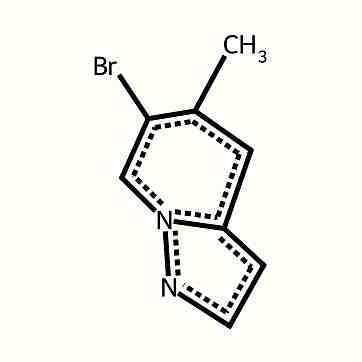 Cc1cc2ccnn2cc1Br